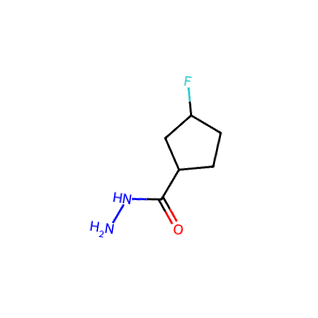 NNC(=O)C1CCC(F)C1